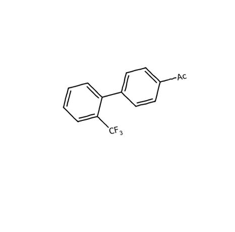 CC(=O)c1ccc(-c2ccccc2C(F)(F)F)cc1